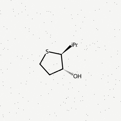 CC(C)[C@@H]1SCC[C@H]1O